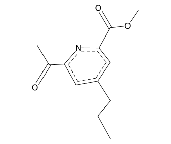 CCCc1cc(C(C)=O)nc(C(=O)OC)c1